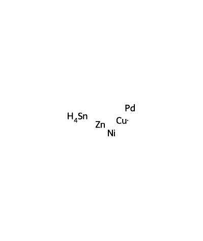 [Cu].[Ni].[Pd].[SnH4].[Zn]